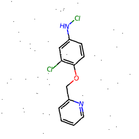 ClNc1ccc(OCc2ccccn2)c(Cl)c1